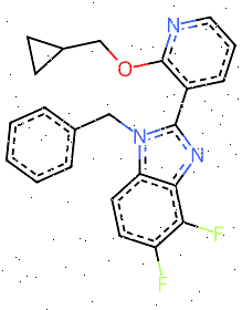 Fc1ccc2c(nc(-c3cccnc3OCC3CC3)n2Cc2ccccc2)c1F